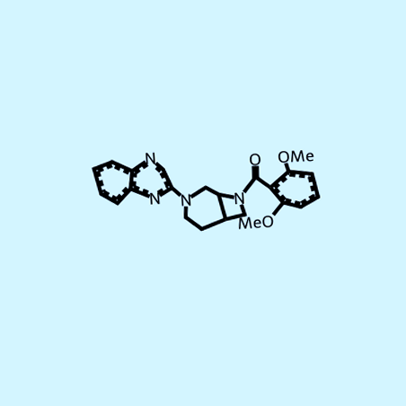 COc1cccc(OC)c1C(=O)N1CC2CCN(c3cnc4ccccc4n3)CC21